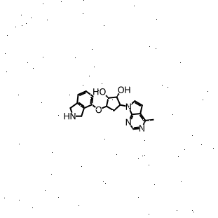 Cc1ncnc2c1ccn2C1CC(Oc2cccc3c2CNC3)[C@@H](O)[C@H]1O